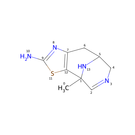 CC12C=NCC(Cc3nc(N)sc31)N2